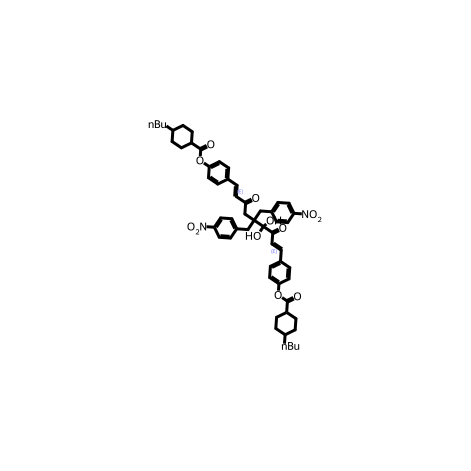 CCCCC1CCC(C(=O)Oc2ccc(/C=C/C(=O)CC(Cc3ccc([N+](=O)[O-])cc3)(Cc3ccc([N+](=O)[O-])cc3)C(O)(O)C(=O)/C=C/c3ccc(OC(=O)C4CCC(CCCC)CC4)cc3)cc2)CC1